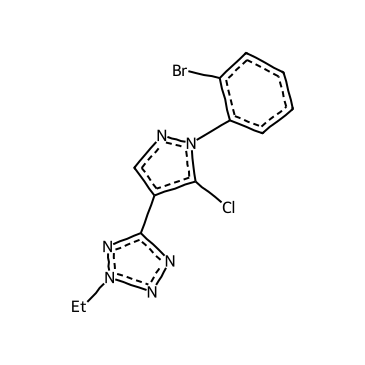 CCn1nnc(-c2cnn(-c3ccccc3Br)c2Cl)n1